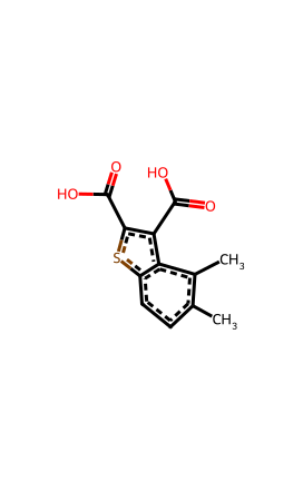 Cc1ccc2sc(C(=O)O)c(C(=O)O)c2c1C